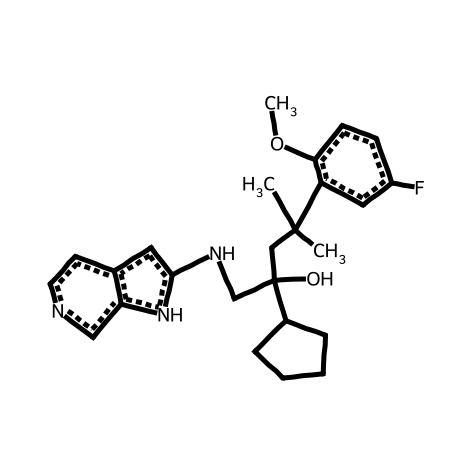 COc1ccc(F)cc1C(C)(C)CC(O)(CNc1cc2ccncc2[nH]1)C1CCCC1